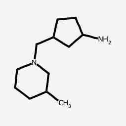 CC1CCCN(CC2CCC(N)C2)C1